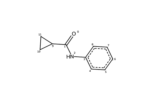 O=C(Nc1cc[c]cc1)C1CC1